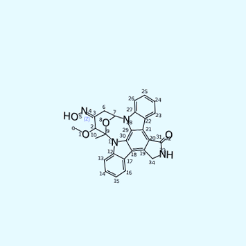 COC1/C(=N\O)CC2OC1(C)n1c3ccccc3c3c4c(c5c6ccccc6n2c5c31)C(=O)NC4